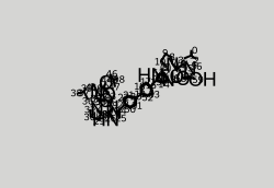 CC(C)C[C@@H](C(=O)N1CCC[C@H]1c1ncc(-c2ccc(-c3ccc(-c4c[nH]c([C@@H]5CCCN5C(=O)[C@H](CC(C)C)N(C)C(=O)OC(C)(C)C)n4)cc3)cc2)[nH]1)N(C)C(=O)O